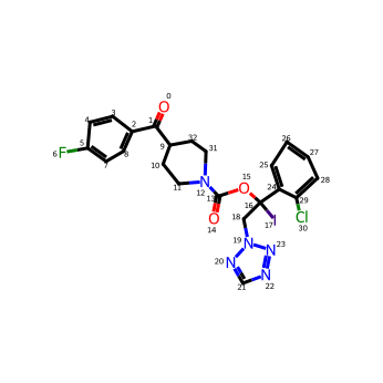 O=C(c1ccc(F)cc1)C1CCN(C(=O)OC(I)(Cn2ncnn2)c2ccccc2Cl)CC1